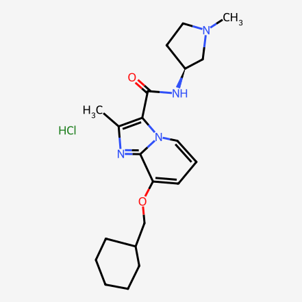 Cc1nc2c(OCC3CCCCC3)cccn2c1C(=O)N[C@H]1CCN(C)C1.Cl